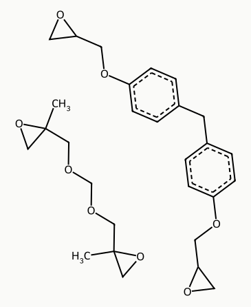 CC1(COCOCC2(C)CO2)CO1.c1cc(OCC2CO2)ccc1Cc1ccc(OCC2CO2)cc1